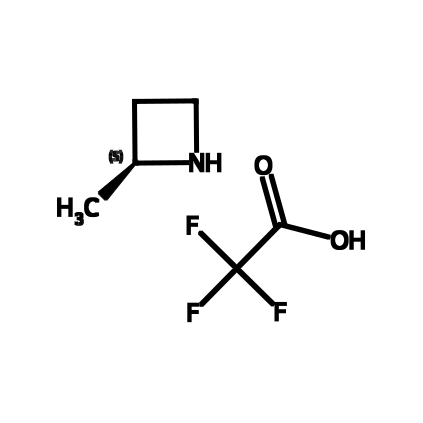 C[C@H]1CCN1.O=C(O)C(F)(F)F